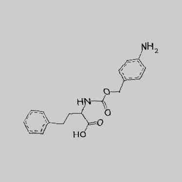 Nc1ccc(COC(=O)NC(CCc2ccccc2)C(=O)O)cc1